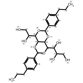 CCCc1ccc(C2OC(C(O)C(O)CO)C3OC(c4ccc(CCC)cc4)OC(C(O)CO)C3O2)cc1